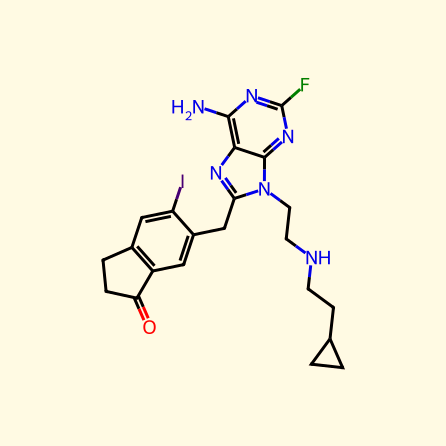 Nc1nc(F)nc2c1nc(Cc1cc3c(cc1I)CCC3=O)n2CCNCCC1CC1